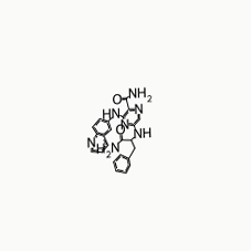 NC(=O)c1ncc(NC(Cc2ccccc2)C(N)=O)nc1Nc1ccc2ncccc2c1